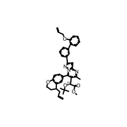 C=CCOc1ccccc1-c1cccc(-c2cc3nc(C)c([C@H](OC(C)(C)C)C(=O)OC)c(-c4ccc5c(c4)C(CC=C)CCO5)n3n2)c1